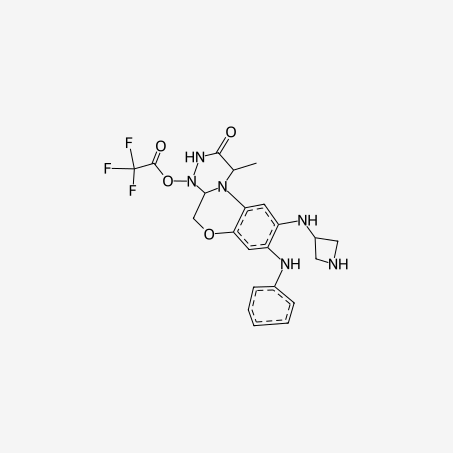 CC1C(=O)NN(OC(=O)C(F)(F)F)C2COc3cc(Nc4ccccc4)c(NC4CNC4)cc3N12